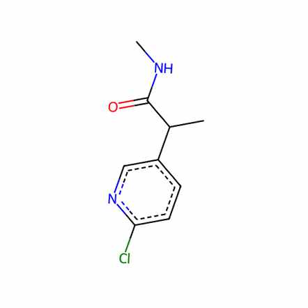 CNC(=O)C(C)c1ccc(Cl)nc1